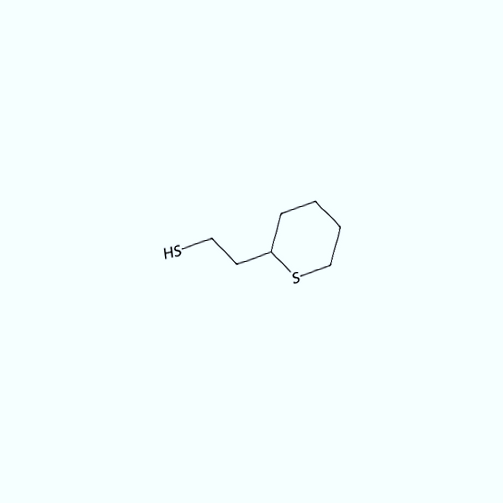 SCCC1CCCCS1